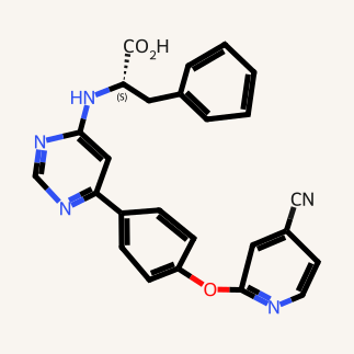 N#Cc1ccnc(Oc2ccc(-c3cc(N[C@@H](Cc4ccccc4)C(=O)O)ncn3)cc2)c1